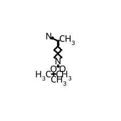 CC(C#N)=C1CC2(C1)CN(C(=O)OC(C)(C)C)C2